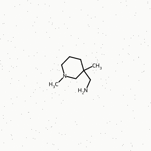 CN1CCCC(C)(CN)C1